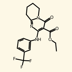 CCOC(=O)c1c(Nc2cccc(C(F)(F)F)c2)nc2n(c1=O)CCCC2